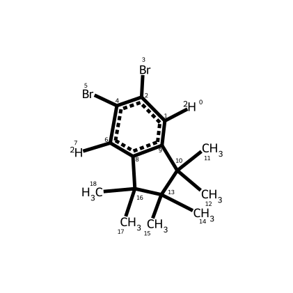 [2H]c1c(Br)c(Br)c([2H])c2c1C(C)(C)C(C)(C)C2(C)C